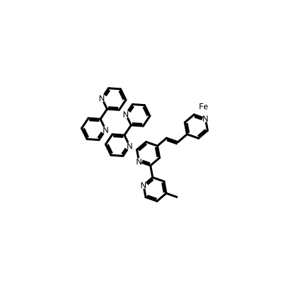 Cc1ccnc(-c2cc(C=Cc3ccncc3)ccn2)c1.[Fe].c1ccc(-c2ccccn2)nc1.c1ccc(-c2ccccn2)nc1